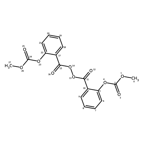 COC(=O)Oc1ccccc1C(=O)OOC(=O)c1ccccc1OC(=O)OC